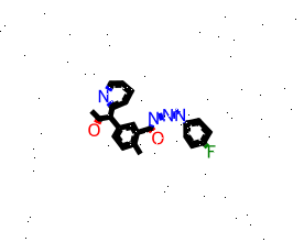 CC(=O)C(c1ccc(C)c(C(=O)N=[N+]=Nc2ccc(F)cc2)c1)c1ccccn1